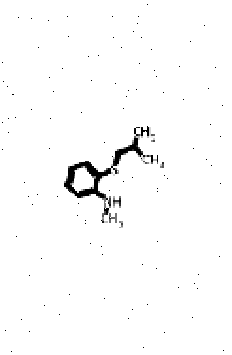 CNc1ccccc1SCC(C)C